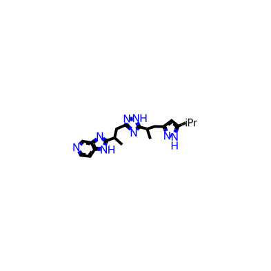 CC(C)c1cc(CC(C)c2nc(CC(C)c3nc4cnccc4[nH]3)n[nH]2)n[nH]1